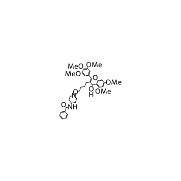 COc1cc(OC)c2c(c1)OC(c1cc(OC)c(OC)c(OC)c1)=C(CCCCON1CCC(NC(=O)c3ccccc3)CC1)C2O